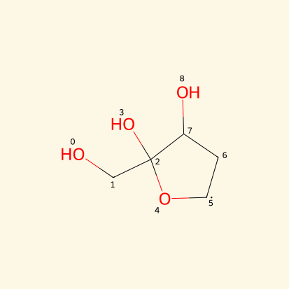 OCC1(O)O[CH]CC1O